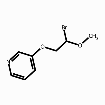 COC(Br)COc1cccnc1